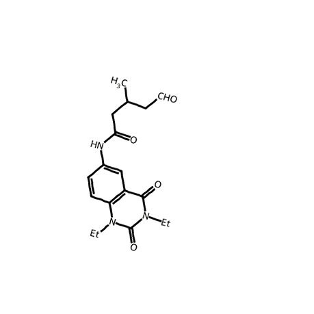 CCn1c(=O)c2cc(NC(=O)CC(C)CC=O)ccc2n(CC)c1=O